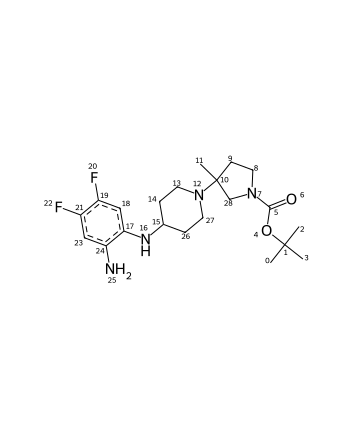 CC(C)(C)OC(=O)N1CCC(C)(N2CCC(Nc3cc(F)c(F)cc3N)CC2)C1